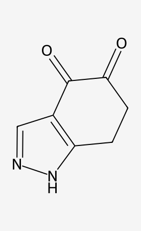 O=C1CCc2[nH]ncc2C1=O